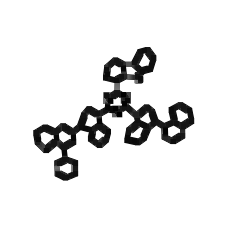 c1ccc(-c2cc(-c3ccc(-c4nc(-c5ccc(-c6cccc7ccccc67)c6ccccc56)nc(-c5cccc6c5sc5ccccc56)n4)c4ccccc34)cc3ccccc23)cc1